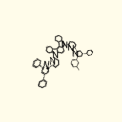 CC1C=CC=C(c2cc(-c3ccccc3)cc(-c3cccc(-n4c5ccccc5c5c6c7ccccc7n(-c7cccc(-c8cc(-c9ccccc9)cc(-c9ccccc9)n8)n7)c6ccc54)n3)n2)C1